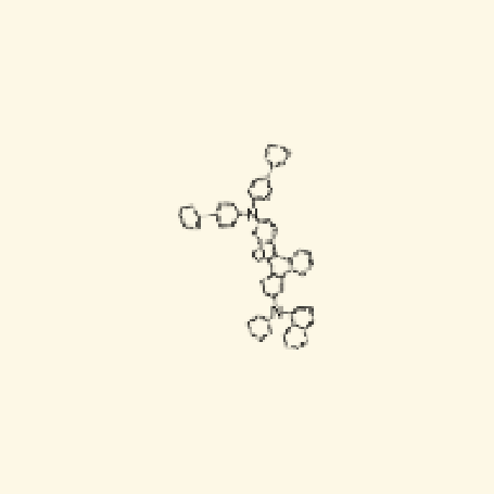 c1ccc(-c2ccc(N(c3ccc(-c4ccccc4)cc3)c3ccc4c(c3)oc3c5ccc(N(c6ccccc6)c6cccc7ccccc67)cc5c5ccccc5c43)cc2)cc1